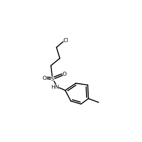 Cc1ccc(NS(=O)(=O)CCCCl)cc1